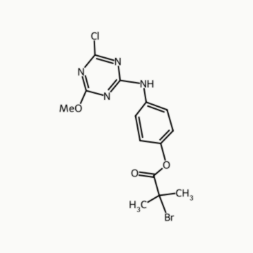 COc1nc(Cl)nc(Nc2ccc(OC(=O)C(C)(C)Br)cc2)n1